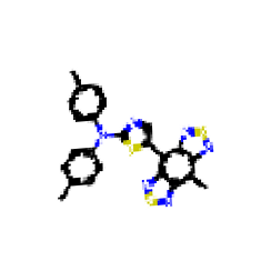 Cc1ccc(N(c2ccc(C)cc2)c2ncc(-c3c4c(c(C)c5nsnc35)N=S=N4)s2)cc1